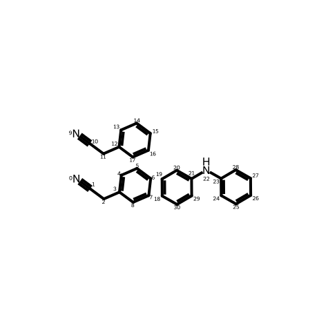 N#CCc1ccccc1.N#CCc1ccccc1.c1ccc(Nc2ccccc2)cc1